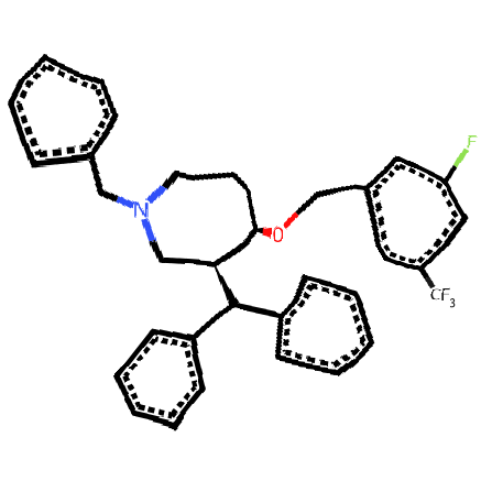 Fc1cc(CO[C@@H]2CCN(Cc3ccccc3)C[C@@H]2C(c2ccccc2)c2ccccc2)cc(C(F)(F)F)c1